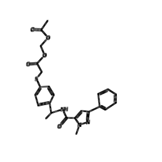 CC(=O)OCOC(=O)CSc1ccc(C(C)NC(=O)c2cc(-c3ccccc3)nn2C)cc1